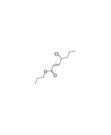 CCCOC(=O)/C=C/C(Cl)CCC